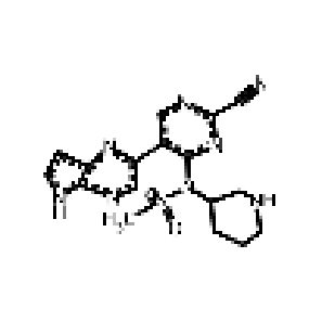 CS(=O)(=O)N(c1nc(C#N)ncc1-c1cnc2[nH]ccc2n1)C1CCCNC1